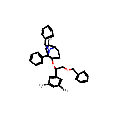 N#CC1CC2(c3ccccc3)C(OC(COCc3ccccc3)c3cc(C(F)(F)F)cc(C(F)(F)F)c3)CCC1N2Cc1ccccc1